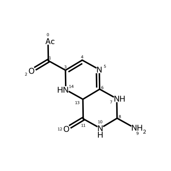 CC(=O)C(=O)C1=CN=C2NC(N)NC(=O)C2N1